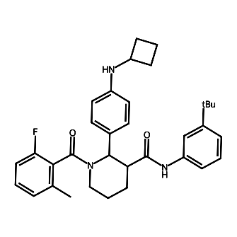 Cc1cccc(F)c1C(=O)N1CCCC(C(=O)Nc2cccc(C(C)(C)C)c2)C1c1ccc(NC2CCC2)cc1